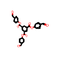 O=Cc1ccc(OC(=O)c2cc(C(=O)Oc3ccc(C=O)cc3)cc(C(=O)Oc3ccc(C=O)cc3)c2)cc1